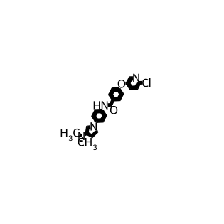 CN(C)C1CCN(c2ccc(NC(=O)c3ccc(Oc4ccc(Cl)nc4)cc3)cc2)C1